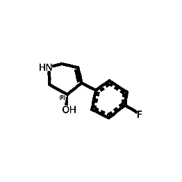 O[C@H]1CNCC=C1c1ccc(F)cc1